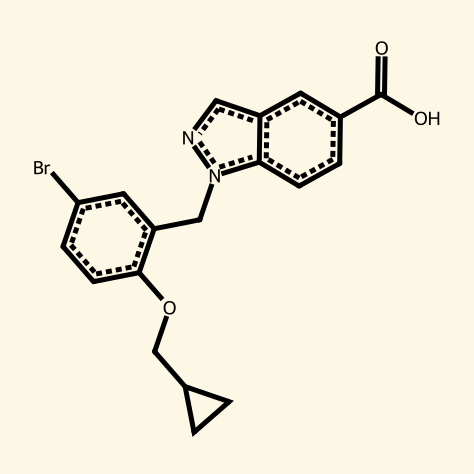 O=C(O)c1ccc2c(cnn2Cc2cc(Br)ccc2OCC2CC2)c1